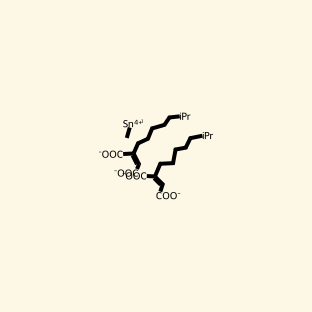 CC(C)CCCCC/C(=C/C(=O)[O-])C(=O)[O-].CC(C)CCCCC/C(=C/C(=O)[O-])C(=O)[O-].[CH3][Sn+4][CH3]